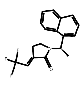 C[C@H](c1cccc2ccccc12)N1CCC(=CC(F)(F)F)C1=O